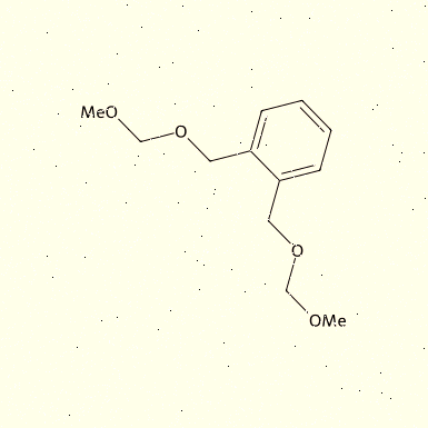 COCOCc1ccccc1COCOC